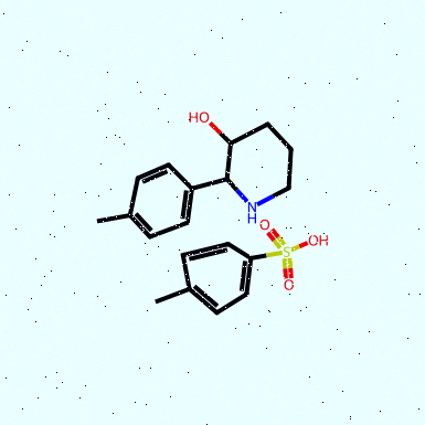 Cc1ccc(C2NCCCC2O)cc1.Cc1ccc(S(=O)(=O)O)cc1